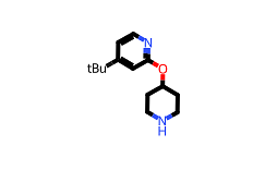 CC(C)(C)c1ccnc(OC2CCNCC2)c1